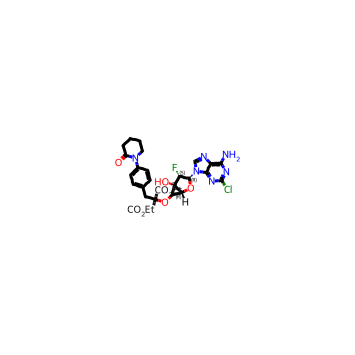 CCOC(=O)C(Cc1ccc(N2CCCCC2=O)cc1)(OC1[C@H]2O[C@@H](n3cnc4c(N)nc(Cl)nc43)[C@@H](F)[C@@]12O)C(=O)OCC